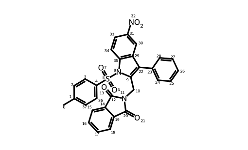 Cc1ccc(S(=O)(=O)n2c(CN3C(=O)c4ccccc4C3=O)c(-c3ccccc3)c3cc([N+](=O)[O-])ccc32)cc1